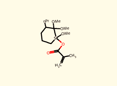 C=C(C)C(=O)O[Si]1(OC)CCCC(CCC)C1(OC)OC